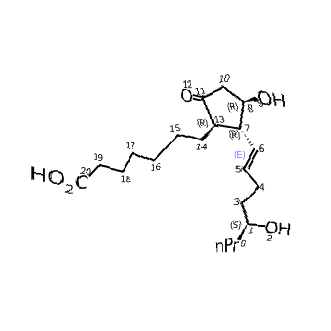 CCC[C@H](O)CC/C=C/[C@H]1[C@H](O)CC(=O)[C@@H]1CCCCCCC(=O)O